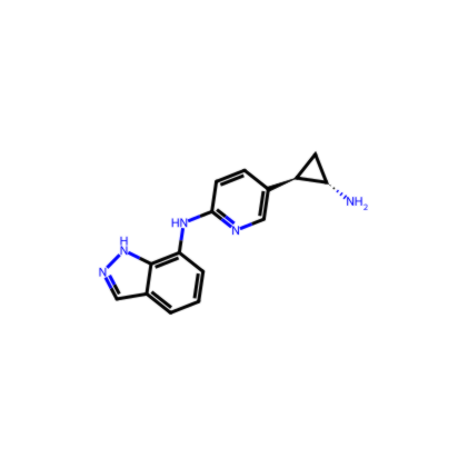 N[C@H]1C[C@@H]1c1ccc(Nc2cccc3cn[nH]c23)nc1